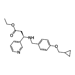 CCOC(=O)C[C@@H](NCc1ccc(OCC2CC2)cc1)c1cccnc1